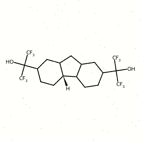 OC(C1CCC2C(CC3CC(C(O)(C(F)(F)F)C(F)(F)F)CC[C@H]32)C1)(C(F)(F)F)C(F)(F)F